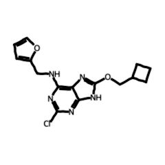 Clc1nc(NCc2ccco2)c2nc(OCC3CCC3)[nH]c2n1